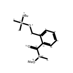 CCCC[Si](C)(C)OCc1ccccc1C(=O)N(C)OC